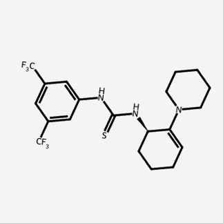 FC(F)(F)c1cc(NC(=S)N[C@@H]2CCCC=C2N2CCCCC2)cc(C(F)(F)F)c1